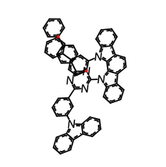 c1ccc(-c2ccc(-c3nc(-c4cccc(-n5c6ccccc6c6ccccc65)c4)nc(-n4c5ccccc5c5ccc6c7ccccc7n(-c7cccc(-c8ccccc8)c7)c6c54)n3)cc2)cc1